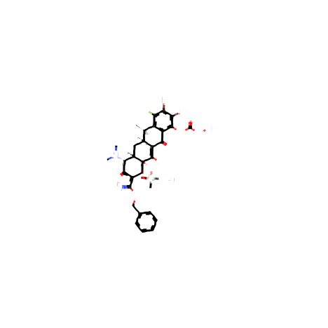 C[C@H]1c2c(F)c(Br)c(Br)c(OC(=O)OC(C)(C)C)c2C(=O)C2=C(O)[C@]3(O[Si](C)(C)C(C)(C)C)C(=O)c4c(OCc5ccccc5)noc4[C@@H](N(C)C)[C@@H]3C[C@@H]21